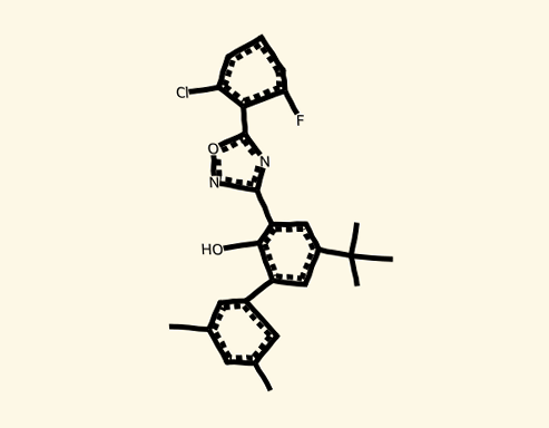 Cc1cc(C)cc(-c2cc(C(C)(C)C)cc(-c3noc(-c4c(F)cccc4Cl)n3)c2O)c1